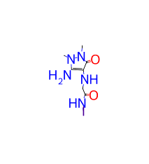 Cn1c(N)c(NCC(=O)NI)c(=O)n1C